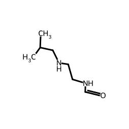 CC(C)CNCCNC=O